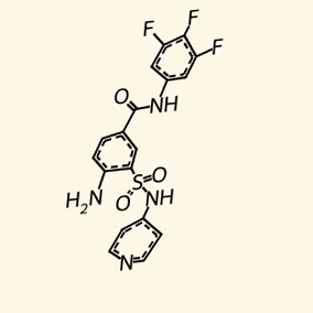 Nc1ccc(C(=O)Nc2cc(F)c(F)c(F)c2)cc1S(=O)(=O)Nc1ccncc1